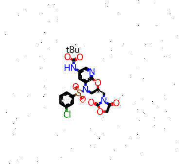 CC(C)(C)OC(=O)Nc1cnc2c(c1)N(S(=O)(=O)c1cccc(Cl)c1)C[C@H](CN1C(=O)COC1=O)O2